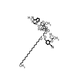 CCCCCCCCCCCCCCCCCCOC[C@H](COP(=O)(O)OC1[C@@]2(C)O[C@@H](c3ccc4c(N)ncnn34)[C@H](O)[C@@]12O)OCc1ccc(C#N)c(OC(C)C)c1